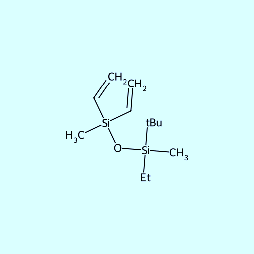 C=C[Si](C)(C=C)O[Si](C)(CC)C(C)(C)C